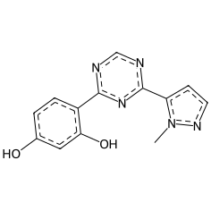 Cn1nccc1-c1ncnc(-c2ccc(O)cc2O)n1